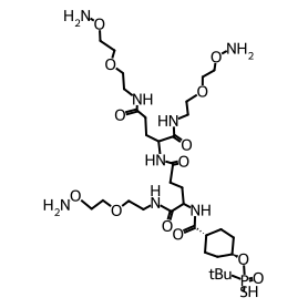 CC(C)(C)P(=O)(S)O[C@H]1CC[C@H](C(=O)NC(CCC(=O)NC(CCC(=O)NCCOCCON)C(=O)NCCOCCON)C(=O)NCCOCCON)CC1